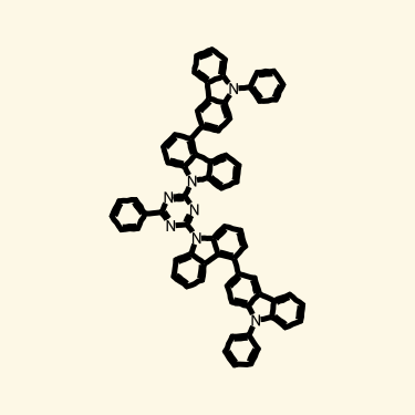 c1ccc(-c2nc(-n3c4ccccc4c4c(-c5ccc6c(c5)c5ccccc5n6-c5ccccc5)cccc43)nc(-n3c4ccccc4c4c(-c5ccc6c(c5)c5ccccc5n6-c5ccccc5)cccc43)n2)cc1